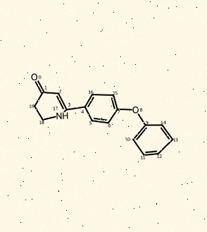 O=C1C=C(c2ccc(Oc3ccccc3)cc2)NCC1